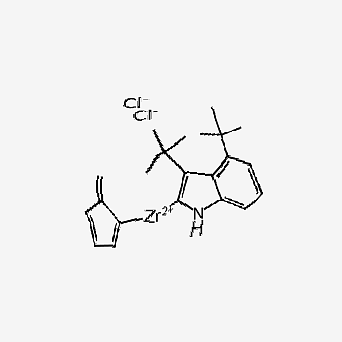 C=C1C=CC=[C]1[Zr+2][c]1[nH]c2cccc(C(C)(C)C)c2c1C(C)(C)C.[Cl-].[Cl-]